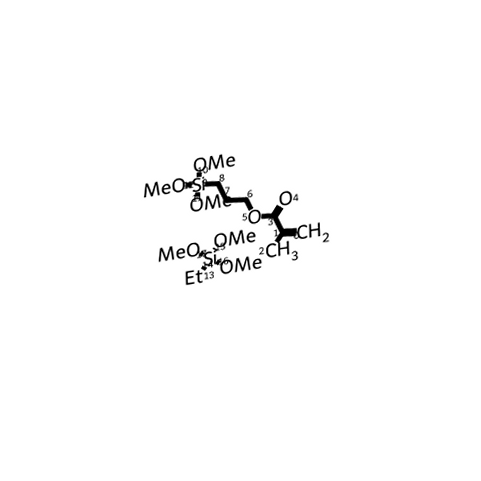 C=C(C)C(=O)OCCC[Si](OC)(OC)OC.CC[Si](OC)(OC)OC